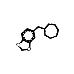 c1cc2c(cc1CC1CCCCCC1)OCO2